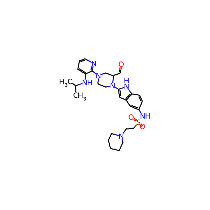 CC(C)Nc1cccnc1N1CCN(c2cc3cc(NS(=O)(=O)CCN4CCCCC4)ccc3[nH]2)C(C=O)C1